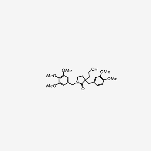 COc1ccc(CC2(CCO)CCN(Cc3cc(OC)c(OC)c(OC)c3)C2=O)cc1OC